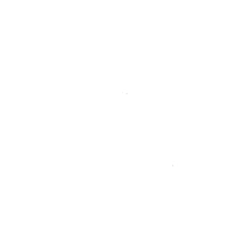 C=CC(CC(C)(C)C)C(C)(C)C(C)(C)CCOC(C)(C)C(=O)CCC(=O)O